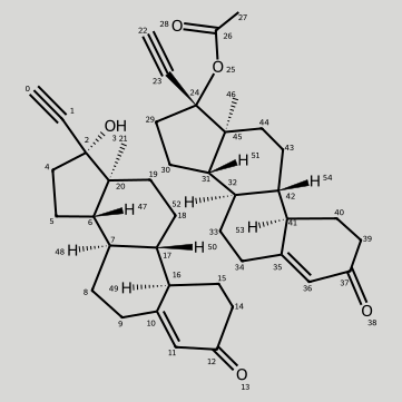 C#C[C@]1(O)CC[C@H]2[C@@H]3CCC4=CC(=O)CC[C@@H]4[C@H]3CC[C@@]21C.C#C[C@]1(OC(C)=O)CC[C@H]2[C@@H]3CCC4=CC(=O)CC[C@@H]4[C@H]3CC[C@@]21C